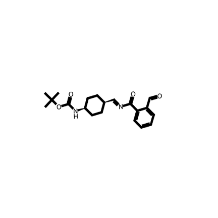 CC(C)(C)OC(=O)N[C@H]1CC[C@@H](C=NC(=O)c2ccccc2C=O)CC1